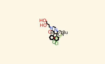 CC(C)(C)C[C@@H]1N2CCN(CC[C@H](O)CO)C(=O)[C@H]2[C@H](c2cccc(Cl)c2F)[C@@]1(C#N)c1ccc(Cl)cc1F